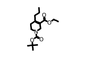 CCCC1=C(C(=O)OCC)CN(C(=O)OC(C)(C)C)CC1